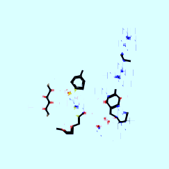 CC(/C=N/NC(=N)N)=N\NC(=N)N.CO[C@@]12[C@H](COC(N)=O)C3=C(C(=O)C(C)=C(N)C3=O)N1C[C@@H]1N[C@@H]12.Cc1ccc(S(=O)(=O)NC2=NC(=O)C(Cc3ccc(C)o3)S2)cc1.OC(CBr)C(O)C(O)C(O)CBr